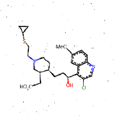 COc1ccc2ncc(Cl)c([C@@H](O)CC[C@@H]3CCN(CCSC4CC4)C[C@@H]3CC(=O)O)c2c1